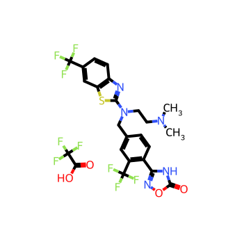 CN(C)CCN(Cc1ccc(-c2noc(=O)[nH]2)c(C(F)(F)F)c1)c1nc2ccc(C(F)(F)F)cc2s1.O=C(O)C(F)(F)F